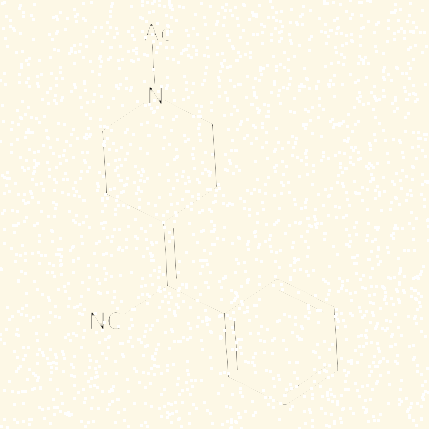 CC(=O)N1CCC(=C(C#N)c2ccccc2)CC1